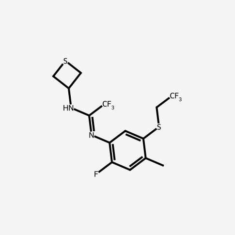 Cc1cc(F)c(/N=C(/NC2CSC2)C(F)(F)F)cc1SCC(F)(F)F